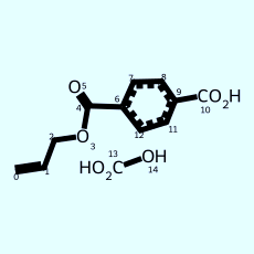 C=CCOC(=O)c1ccc(C(=O)O)cc1.O=C(O)O